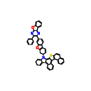 C1=CC(n2c3c(c4c5ccccc5c5c(sc6ccc7ccccc7c65)c42)=CCCC=3)Cc2oc3cc(-c4nc5c(nc4-c4ccccc4)oc4ccccc45)ccc3c21